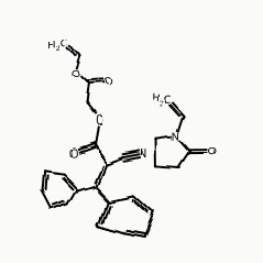 C=CN1CCCC1=O.C=COC(=O)COC(=O)C(C#N)=C(c1ccccc1)c1ccccc1